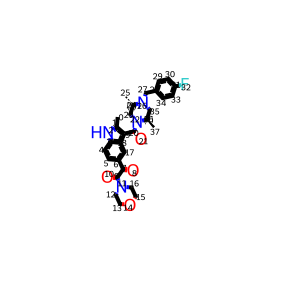 Cc1[nH]c2ccc(C(=O)C(=O)N3CCOCC3)cc2c1C(=O)N1C[C@H](C)N(Cc2ccc(F)cc2)C[C@H]1C